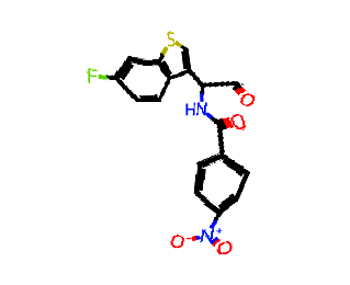 O=[C]C(NC(=O)c1ccc([N+](=O)[O-])cc1)c1csc2cc(F)ccc12